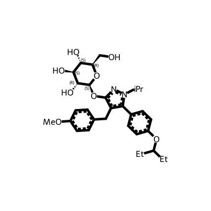 CCC(CC)Oc1ccc(-c2c(Cc3ccc(OC)cc3)c(O[C@@H]3O[C@H](CO)[C@@H](O)[C@H](O)[C@H]3O)nn2C(C)C)cc1